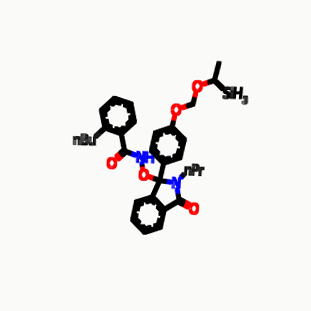 CCCCc1ccccc1C(=O)NOC1(c2ccc(OCOC(C)[SiH3])cc2)c2ccccc2C(=O)N1CCC